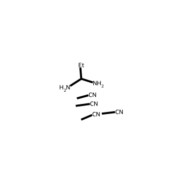 CC#N.CC#N.CC#N.CC#N.CCC(N)N